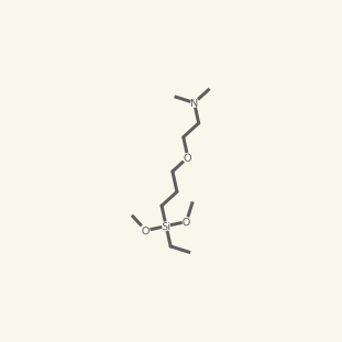 CC[Si](CCCOCCN(C)C)(OC)OC